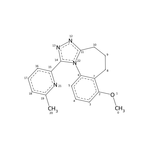 COc1cccc2c1CCCc1nnc(-c3cccc(C)n3)n1-2